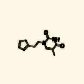 Cc1cn(CCC2=CC=CC2)c(=O)[nH]c1=O